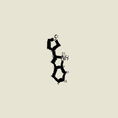 [c]1sccc1-c1cc2ccccc2[nH]1